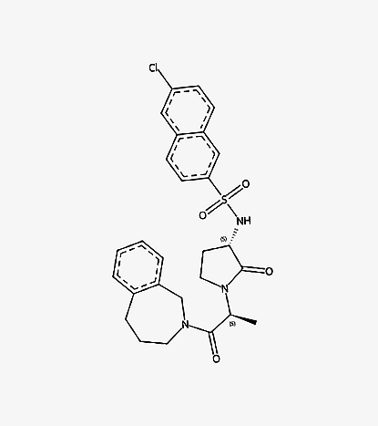 C[C@@H](C(=O)N1CCCc2ccccc2C1)N1CC[C@H](NS(=O)(=O)c2ccc3cc(Cl)ccc3c2)C1=O